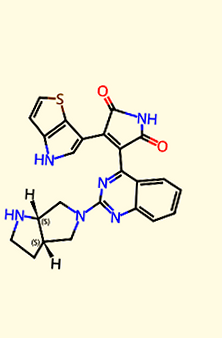 O=C1NC(=O)C(c2c[nH]c3ccsc23)=C1c1nc(N2C[C@@H]3CCN[C@@H]3C2)nc2ccccc12